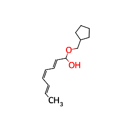 CC=C/C=C\C=C\C(O)OCC1CCCC1